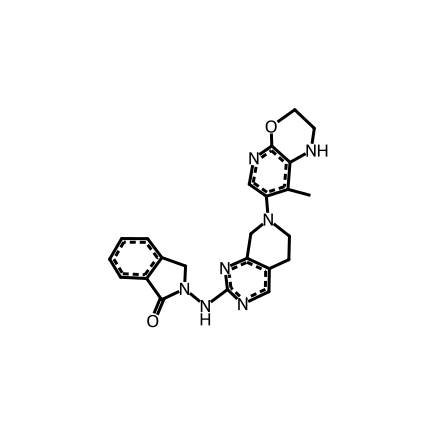 Cc1c(N2CCc3cnc(NN4Cc5ccccc5C4=O)nc3C2)cnc2c1NCCO2